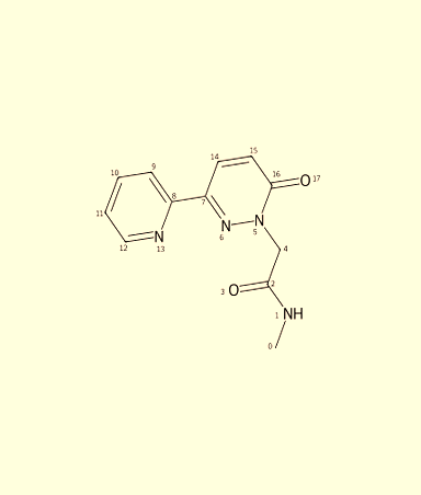 CNC(=O)Cn1nc(-c2ccccn2)ccc1=O